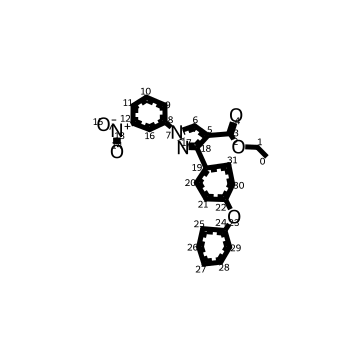 CCOC(=O)c1cn(-c2cccc([N+](=O)[O-])c2)nc1-c1ccc(Oc2ccccc2)cc1